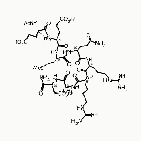 CSCC[C@H](NC(=O)[C@H](CCC(=O)O)NC(=O)[C@H](CCC(=O)O)NC(C)=O)C(=O)N[C@@H](CCC(N)=O)C(=O)N[C@@H](CCCNC(=N)N)C(=O)N[C@@H](CCCNC(=N)N)C(=O)N[C@@H](C)C(=O)N[C@@H](CC(=O)O)C(N)=O